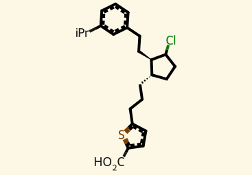 CC(C)c1cccc(CC[C@H]2C(Cl)CC[C@@H]2CCCc2ccc(C(=O)O)s2)c1